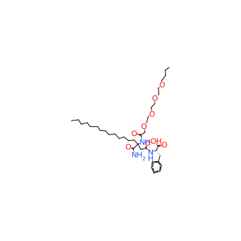 CCCCCCCCCCCCCCC(CC(=O)N[C@@H](Cc1ccccc1)C(=O)O)(NC(=O)COCCOCCOCCOCCCC)C(N)=O